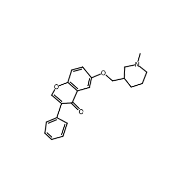 CN1CCCC(COc2ccc3occ(-c4ccccc4)c(=O)c3c2)C1